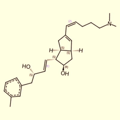 Cc1cccc(C[C@H](O)/C=C/[C@@H]2[C@H]3CC(/C=C\CCCN(C)C)=C[C@H]3C[C@H]2O)c1